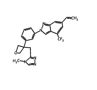 C=Cc1cc(C(F)(F)F)c2cn(-c3cccc(C4(Cc5nncn5C)COC4)c3)nc2c1